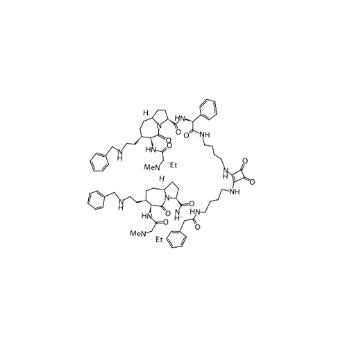 CC[C@H](NC)C(=O)N[C@@H]1C(=O)N2[C@@H](CC[C@@H]1CCNCc1ccccc1)CC[C@H]2C(=O)N[C@H](C(=O)NCCCCNc1c(NCCCCNC(=O)[C@@H](NC(=O)[C@@H]2CC[C@@H]3CC[C@H](CCNCc4ccccc4)[C@H](NC(=O)[C@H](CC)NC)C(=O)N32)c2ccccc2)c(=O)c1=O)c1ccccc1